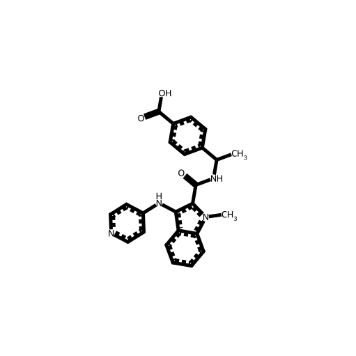 CC(NC(=O)c1c(Nc2ccncc2)c2ccccc2n1C)c1ccc(C(=O)O)cc1